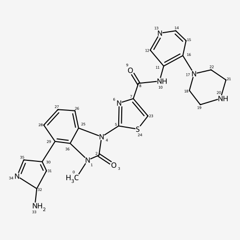 Cn1c(=O)n(-c2nc(C(=O)Nc3cnccc3N3CCNCC3)cs2)c2cccc(C3=CC(N)N=C3)c21